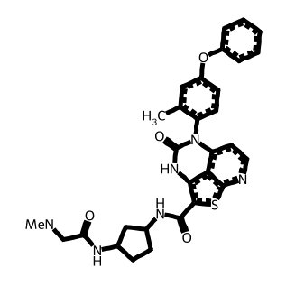 CNCC(=O)NC1CCC(NC(=O)c2sc3nccc4c3c2NC(=O)N4c2ccc(Oc3ccccc3)cc2C)C1